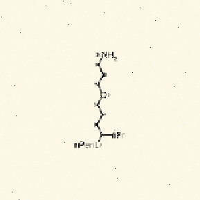 CCCCCC(CCC)CCCOCCCN